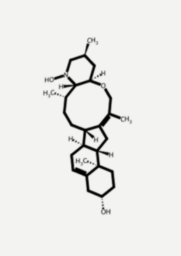 C/C1=C2\C[C@H]3[C@@H](CC=C4C[C@@H](O)CC[C@@]43C)[C@@H]2CC[C@H](C)[C@H]2[C@@H](C[C@H](C)CN2O)OC1